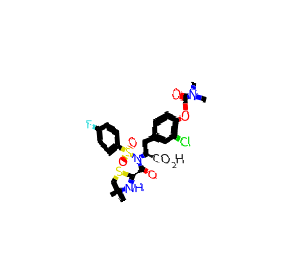 CN(C)C(=O)Oc1ccc(C[C@@H](C(=O)O)N(C(=O)[C@H]2NC(C)(C)CS2)S(=O)(=O)c2ccc(F)cc2)cc1Cl